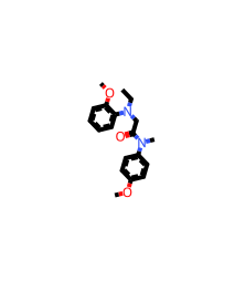 CCN(CC(=O)N(C)c1ccc(OC)cc1)c1ccccc1OC